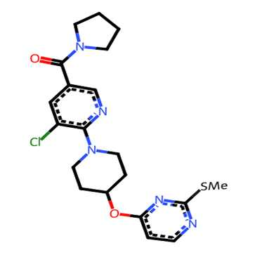 CSc1nccc(OC2CCN(c3ncc(C(=O)N4CCCC4)cc3Cl)CC2)n1